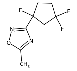 Cc1nc(C2(F)CCC(F)(F)C2)no1